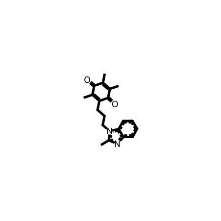 CC1=C(C)C(=O)C(CCCn2c(C)nc3ccccc32)=C(C)C1=O